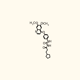 COc1cc2nccc(Oc3ccc(N[S+]([O-])NC(=O)CCC4CCCC4)cc3)c2cc1OC